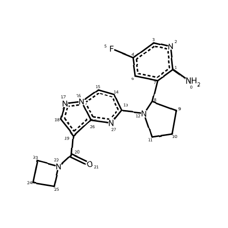 Nc1ncc(F)cc1C1CCCN1c1ccn2ncc(C(=O)N3CCC3)c2n1